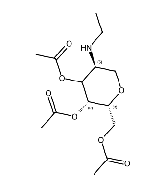 CCN[C@H]1CO[C@H](COC(C)=O)[C@H](OC(C)=O)C1OC(C)=O